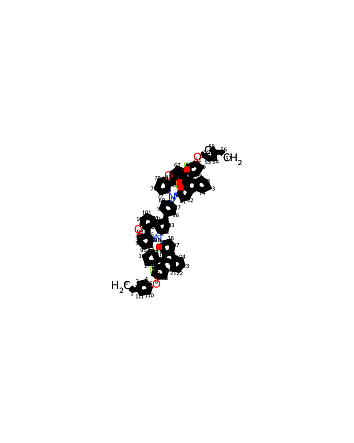 C=Cc1ccc(Oc2ccc(C3(c4c(F)cccc4F)c4ccccc4-c4ccc(N(c5ccc(-c6ccc(N(c7ccc8c(c7)C(c7ccc(Oc9ccc(C=C)cc9)cc7)(c7c(F)cccc7F)c7ccccc7-8)c7cccc8oc9ccccc9c78)cc6)cc5)c5cccc6oc7ccccc7c56)cc43)cc2)cc1